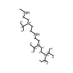 CNCCN(CCNCCN(CCN(C(C)C)C(C)C)C(C)C)C(C)C